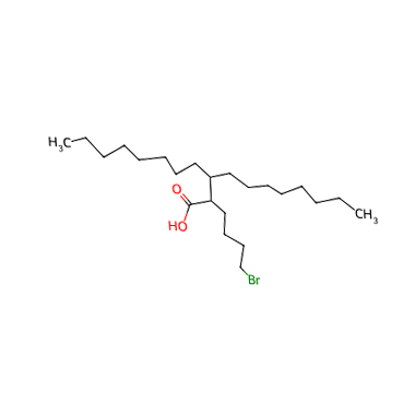 CCCCCCCCC(CCCCCCCC)C(CCCCBr)C(=O)O